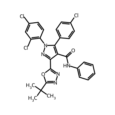 CC(C)(C)c1nnc(-c2nn(-c3ccc(Cl)cc3Cl)c(-c3ccc(Cl)cc3)c2C(=O)Nc2ccccc2)o1